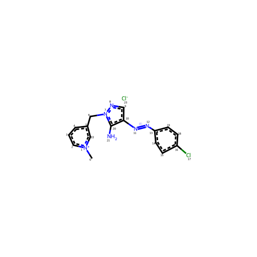 C[n+]1cccc(Cn2ncc(/N=N/c3ccc(Cl)cc3)c2N)c1.[Cl-]